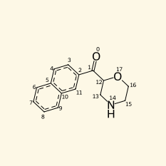 O=C(c1ccc2ccccc2c1)C1CNCCO1